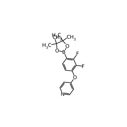 CC1(C)OB(c2ccc(Oc3ccncc3)c(F)c2F)OC1(C)C